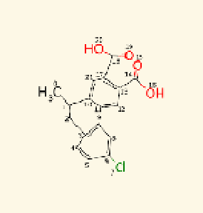 CC(Cc1ccc(Cl)cc1)c1ccc(C(=O)O)c(C(=O)O)c1